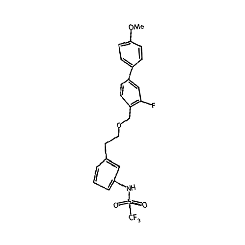 COc1ccc(-c2ccc(COCCc3cccc(NS(=O)(=O)C(F)(F)F)c3)c(F)c2)cc1